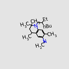 C=Nc1cc2c(cc1C)N(CC(CC)CCCC)C(C)(C)CC2C